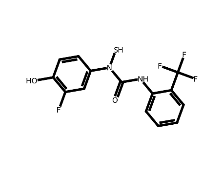 O=C(Nc1ccccc1C(F)(F)F)N(S)c1ccc(O)c(F)c1